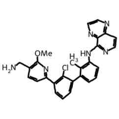 COc1nc(-c2cccc(-c3cccc(Nc4nccc5nccnc45)c3C)c2Cl)ccc1CN